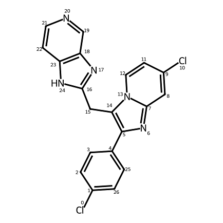 Clc1ccc(-c2nc3cc(Cl)ccn3c2Cc2nc3cnccc3[nH]2)cc1